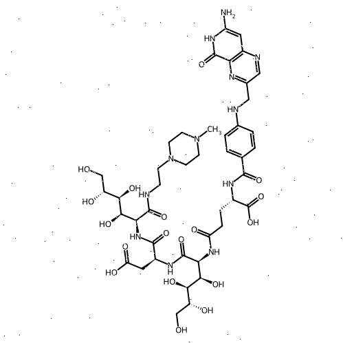 CN1CCN(CCNC(=O)[C@@H](NC(=O)[C@H](CC(=O)O)NC(=O)[C@@H](NC(=O)CC[C@H](NC(=O)c2ccc(NCc3cnc4cc(N)[nH]c(=O)c4n3)cc2)C(=O)O)[C@@H](O)[C@H](O)[C@H](O)CO)[C@@H](O)[C@H](O)[C@H](O)CO)CC1